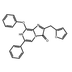 O=c1c(Cc2ccco2)nc2c(Oc3ccccc3)[nH]c(-c3ccccc3)cn1-2